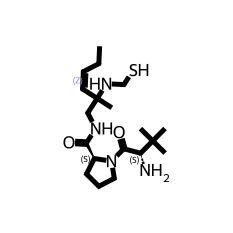 CC/C=C\C(C)(CNC(=O)[C@@H]1CCCN1C(=O)[C@@H](N)C(C)(C)C)NCS